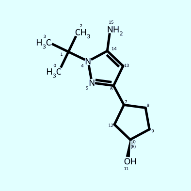 CC(C)(C)n1nc(C2CC[C@@H](O)C2)cc1N